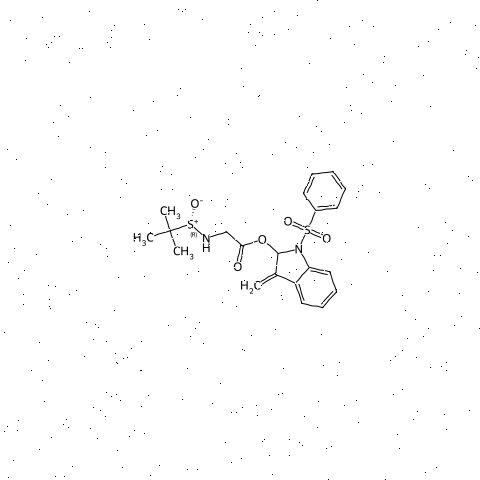 C=C1c2ccccc2N(S(=O)(=O)c2ccccc2)C1OC(=O)CN[S@@+]([O-])C(C)(C)C